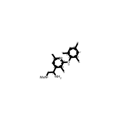 CNCC(N)c1cc(C)nc(Oc2c(C)cc(C)cc2C)c1C